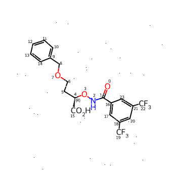 O=C(NO[C@H](CCOCc1ccccc1)C(=O)O)c1cc(C(F)(F)F)cc(C(F)(F)F)c1